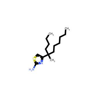 CCCCCCC(C)(CCCC)c1csc(N)n1